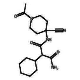 CC(=O)N1CCC(C#N)(NC(=O)C(C(N)=O)C2CCCCC2)CC1